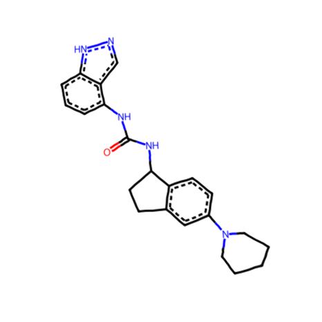 O=C(Nc1cccc2[nH]ncc12)NC1CCc2cc(N3CCCCC3)ccc21